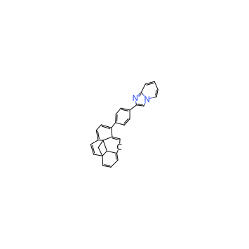 C1=CC23C=CC4=CC=C(c5ccc(-c6cn7ccccc7n6)cc5)C5=CCC(=C1)C2C45C3